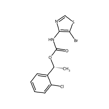 C[C@@H](OC(=O)Nc1ncsc1Br)c1ccccc1Cl